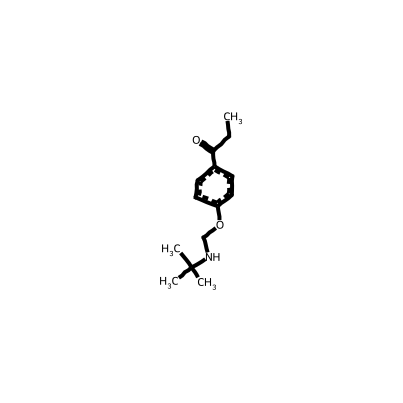 CCC(=O)c1ccc(OCNC(C)(C)C)cc1